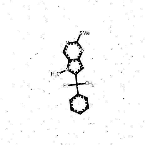 CCC(C)(c1ccccc1)c1cc2nc(SC)ncc2n1C